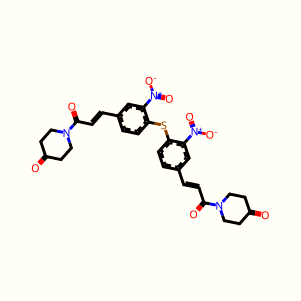 O=C1CCN(C(=O)/C=C/c2ccc(Sc3ccc(/C=C/C(=O)N4CCC(=O)CC4)cc3[N+](=O)[O-])c([N+](=O)[O-])c2)CC1